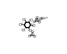 Cl[C@H]1[C@H](Cl)[C@@H](Cl)[C@@H](Cl)[C@H](Cl)[C@H]1Cl.O.O=[N+]([O-])[O-].O=[N+]([O-])[O-].[Mn+2]